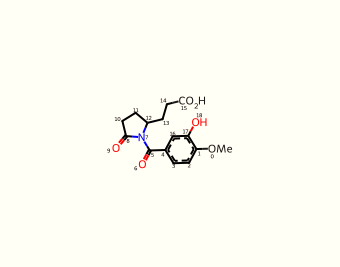 COc1ccc(C(=O)N2C(=O)CCC2CCC(=O)O)cc1O